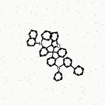 c1ccc(-c2cccc(N(c3ccccc3)c3cccc4c3-c3ccccc3C43c4cccc(N(c5ccccc5)c5cccc6ccccc56)c4-c4c3oc3ccccc43)c2)cc1